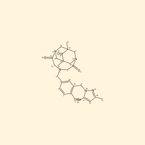 COc1ccc(CN2CC(=O)N3CC4(C)CN(CC(C)(C3)C4=O)C(=O)C2)cc1Cn1nc(C)cc1C